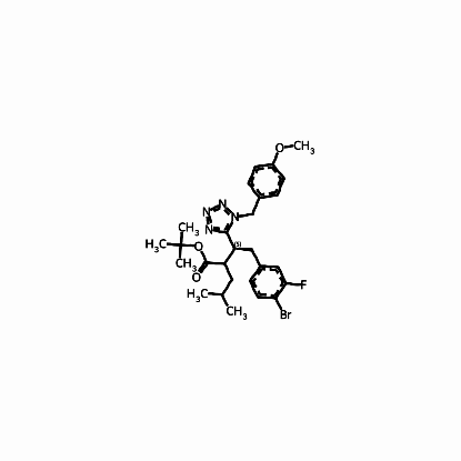 COc1ccc(Cn2nnnc2[C@@H](Cc2ccc(Br)c(F)c2)C(CC(C)C)C(=O)OC(C)(C)C)cc1